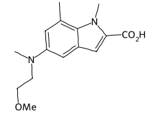 COCCN(C)c1cc(C)c2c(c1)cc(C(=O)O)n2C